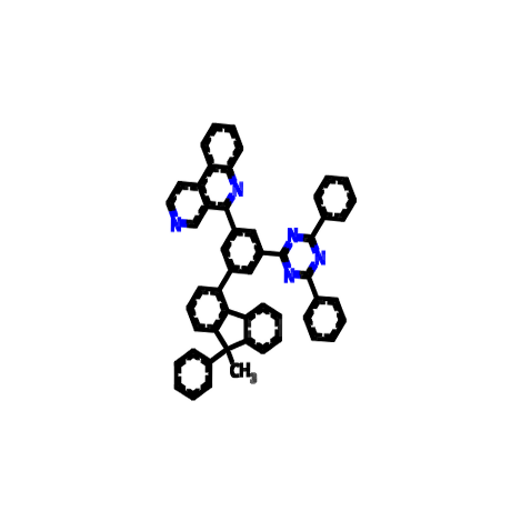 CC1(c2ccccc2)c2ccccc2-c2c(-c3cc(-c4nc(-c5ccccc5)nc(-c5ccccc5)n4)cc(-c4nc5ccccc5c5ccncc45)c3)cccc21